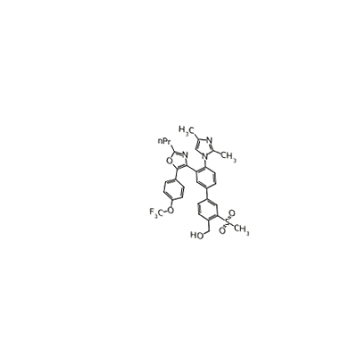 CCCc1nc(-c2cc(-c3ccc(CO)c(S(C)(=O)=O)c3)ccc2-n2cc(C)nc2C)c(-c2ccc(OC(F)(F)F)cc2)o1